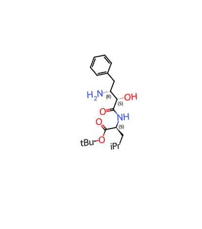 CC(C)C[C@H](NC(=O)[C@@H](O)[C@H](N)Cc1ccccc1)C(=O)OC(C)(C)C